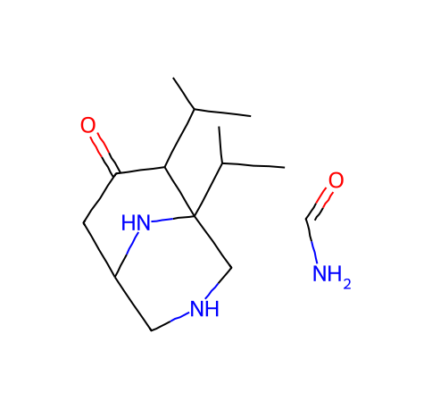 CC(C)C1C(=O)CC2CNCC1(C(C)C)N2.NC=O